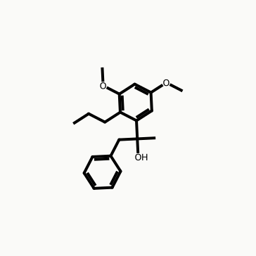 CCCc1c(OC)cc(OC)cc1C(C)(O)Cc1ccccc1